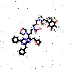 CC1=C(C)C(=O)C(C(C)(C)CC(=O)N(C)CCCN(CCC(c2c(Cc3ccco3)nc3c(Cc4ccccc4)nc(-c4ccccc4)cn23)N2CCOCC2)C(=O)O)=C(C)C1=O